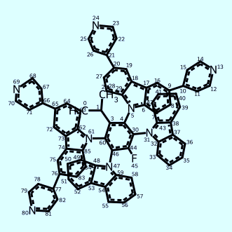 CC(C)c1c(-n2c3ccc(-c4ccncc4)cc3c3cc(-c4ccncc4)ccc32)c(-n2c3ccccc3c3ccccc32)c(F)c(-n2c3ccccc3c3ccccc32)c1-n1c2ccc(-c3ccncc3)cc2c2cc(-c3ccncc3)ccc21